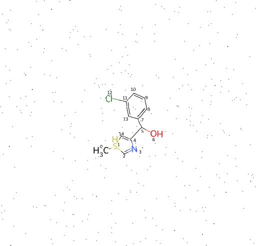 C[SH]1C=NC(C(O)c2cccc(Cl)c2)=C1